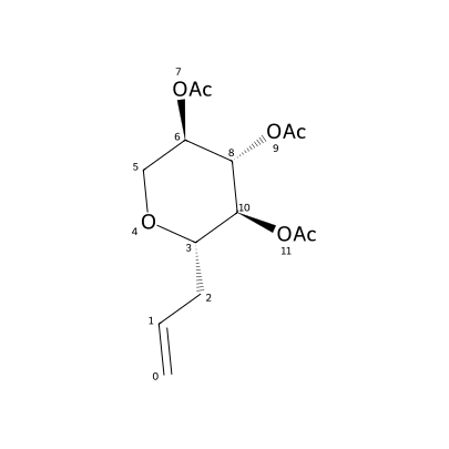 C=CC[C@@H]1OC[C@@H](OC(C)=O)[C@H](OC(C)=O)[C@H]1OC(C)=O